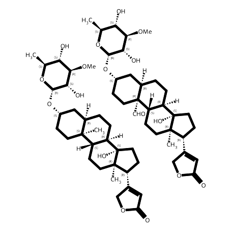 CO[C@H]1[C@H](O)[C@H](O[C@H]2CC[C@@]3(C)[C@H](CC[C@@H]4[C@@H]3CC[C@]3(C)[C@@H](C5=CC(=O)OC5)CC[C@]43O)C2)O[C@@H](C)[C@@H]1O.CO[C@H]1[C@H](O)[C@H](O[C@H]2CC[C@@]3(C=O)[C@H](CC[C@@H]4[C@@H]3CC[C@]3(C)[C@@H](C5=CC(=O)OC5)CC[C@]43O)C2)O[C@@H](C)[C@@H]1O